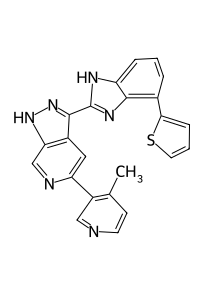 Cc1ccncc1-c1cc2c(-c3nc4c(-c5cccs5)cccc4[nH]3)n[nH]c2cn1